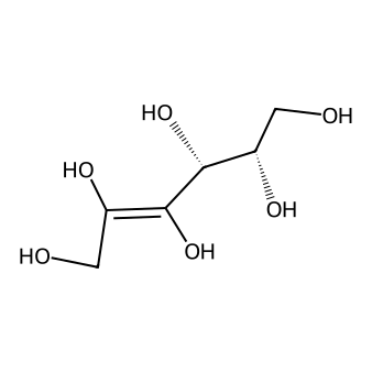 OCC(O)=C(O)[C@H](O)[C@@H](O)CO